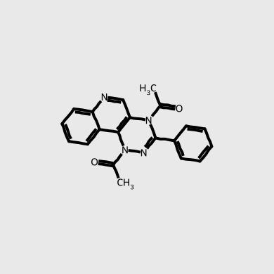 CC(=O)N1N=C(c2ccccc2)N(C(C)=O)c2cnc3ccccc3c21